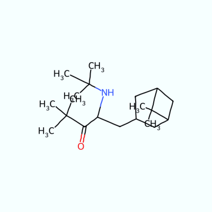 CC(C)(C)NC(CC1CC2CC(C1)C2(C)C)C(=O)C(C)(C)C